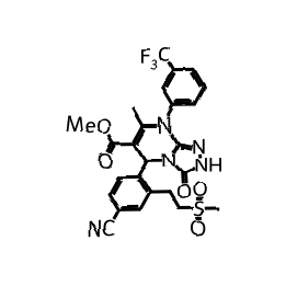 COC(=O)C1=C(C)N(c2cccc(C(F)(F)F)c2)c2n[nH]c(=O)n2C1c1ccc(C#N)cc1CCS(C)(=O)=O